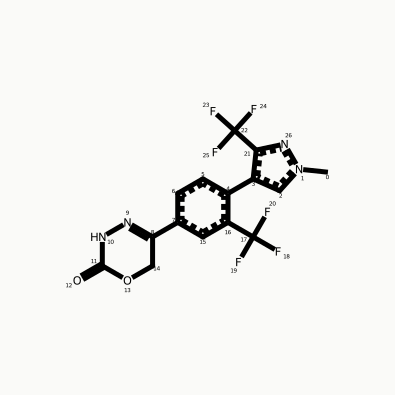 Cn1cc(-c2ccc(C3=NNC(=O)OC3)cc2C(F)(F)F)c(C(F)(F)F)n1